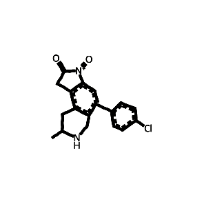 CC1Cc2c(c(-c3ccc(Cl)cc3)cc3c2CC(=O)[N+]3=O)CN1